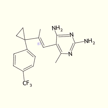 C/C(=C\c1c(C)nc(N)nc1N)C1(c2ccc(C(F)(F)F)cc2)CC1